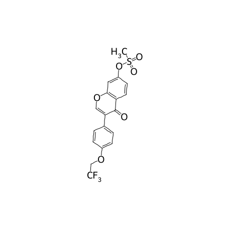 CS(=O)(=O)Oc1ccc2c(=O)c(-c3ccc(OCC(F)(F)F)cc3)coc2c1